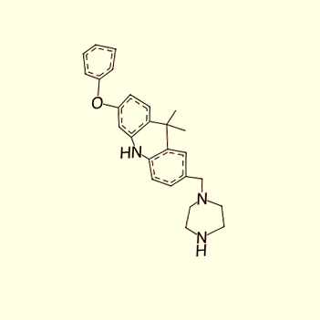 CC1(C)c2ccc(Oc3ccccc3)cc2Nc2ccc(CN3CCNCC3)cc21